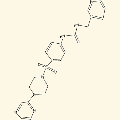 O=C(NCc1cccnc1)Nc1ccc(S(=O)(=O)N2CCN(c3cnccn3)CC2)cc1